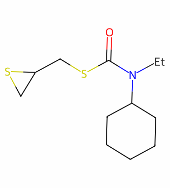 CCN(C(=O)SCC1CS1)C1CCCCC1